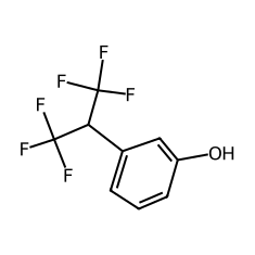 Oc1cccc(C(C(F)(F)F)C(F)(F)F)c1